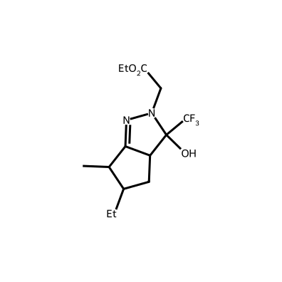 CCOC(=O)CN1N=C2C(C)C(CC)CC2C1(O)C(F)(F)F